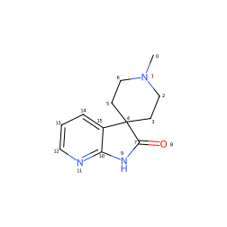 CN1CCC2(CC1)C(=O)Nc1ncccc12